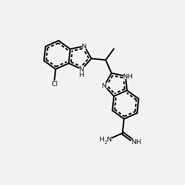 CC(c1nc2cc(C(=N)N)ccc2[nH]1)c1nc2cccc(Cl)c2[nH]1